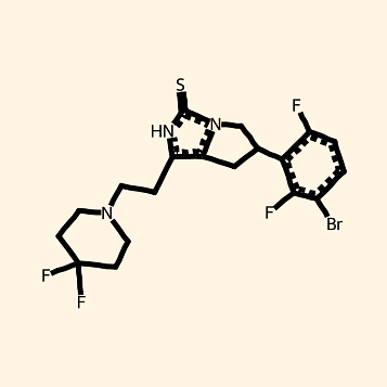 Fc1ccc(Br)c(F)c1C1Cc2c(CCN3CCC(F)(F)CC3)[nH]c(=S)n2C1